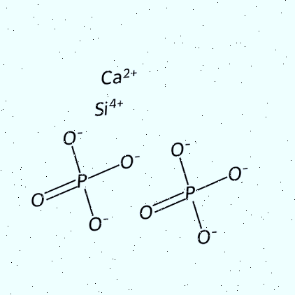 O=P([O-])([O-])[O-].O=P([O-])([O-])[O-].[Ca+2].[Si+4]